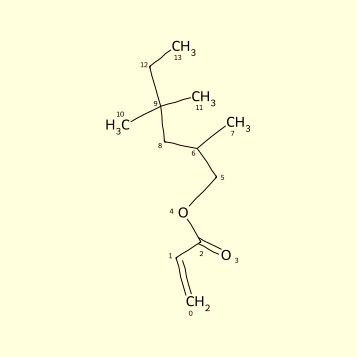 C=CC(=O)OCC(C)CC(C)(C)CC